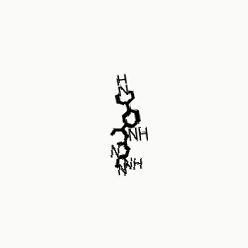 CCc1c(-c2cnc3cn[nH]c3c2)[nH]c2ccc(C3CCNCC3)cc12